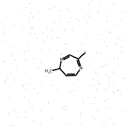 CC1C=CN=C(I)C=N1